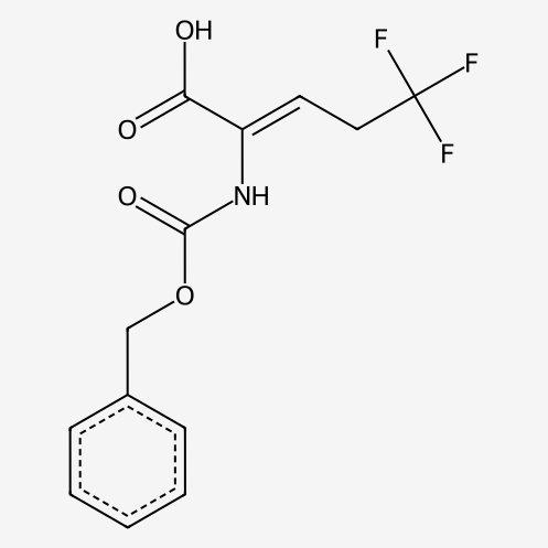 O=C(N/C(=C\CC(F)(F)F)C(=O)O)OCc1ccccc1